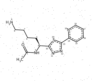 CC(=O)N[C@@H](CCCCN)c1nnc(-c2ccccn2)s1